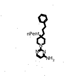 CCCCCC1(CCCc2ccccc2)CCN(c2nccc(N)n2)CC1